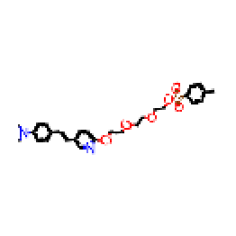 Cc1ccc(S(=O)(=O)OCCOCCOCCOc2ccc(C=Cc3ccc(N(C)C)cc3)cn2)cc1